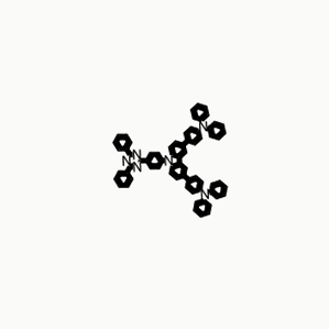 c1ccc(-c2nc(-c3ccccc3)nc(-c3ccc(-n4c5ccc(-c6ccc(N(c7ccccc7)c7ccccc7)cc6)cc5c5cc(-c6ccc(N(c7ccccc7)c7ccccc7)cc6)ccc54)cc3)n2)cc1